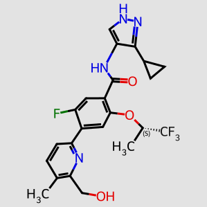 Cc1ccc(-c2cc(O[C@@H](C)C(F)(F)F)c(C(=O)Nc3c[nH]nc3C3CC3)cc2F)nc1CO